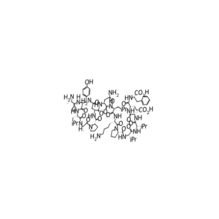 CC(C)C[C@H](NC(=O)[C@H](Cc1ccc(O)cc1)NC(=O)[C@H](C)N)C(=O)N[C@@H](C)C(=O)N1CCC[C@H]1C(=O)N[C@@H](CC(N)=O)C(=O)N[C@@H](CC(N)=O)C(=O)N[C@@H](CC(C)C)C(=O)N[C@@H](CCCCN)C(=O)N1CCC[C@H]1C(=O)N[C@H](C(=O)N[C@H](C(=O)N[C@@H](C)C(=O)N[C@@H](CCC(=O)O)C(=O)N[C@@H](Cc1ccccc1)C(=O)O)C(C)C)C(C)C